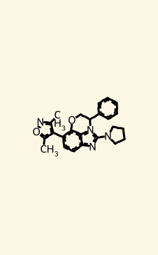 Cc1noc(C)c1-c1ccc2nc(N3CCCC3)n3c2c1OCC3c1ccccc1